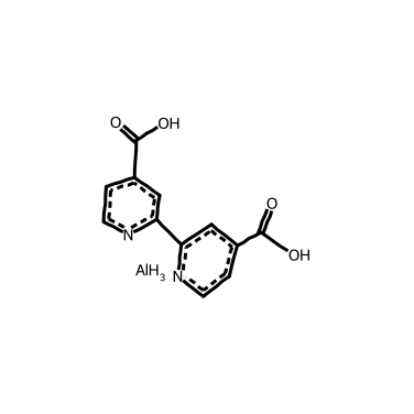 O=C(O)c1ccnc(-c2cc(C(=O)O)ccn2)c1.[AlH3]